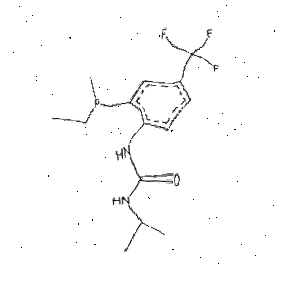 CCP(C)c1cc(C(F)(F)F)ccc1NC(=O)NC(C)C